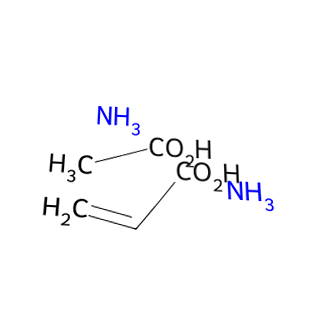 C=CC(=O)O.CC(=O)O.N.N